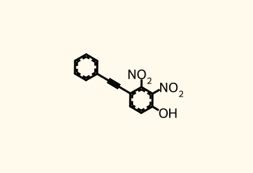 O=[N+]([O-])c1c(O)ccc(C#Cc2ccccc2)c1[N+](=O)[O-]